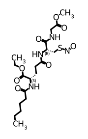 CCCCCC(=O)N[C@@H](CCC(=O)N[C@@H](CSN=O)C(=O)NCC(=O)OC)C(=O)OCC